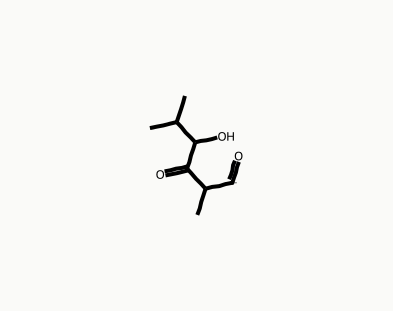 CC([C]=O)C(=O)C(O)C(C)C